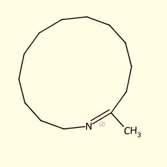 C/C1=N/CCCCCCCCCCCC1